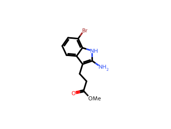 COC(=O)CCc1c(N)[nH]c2c(Br)cccc12